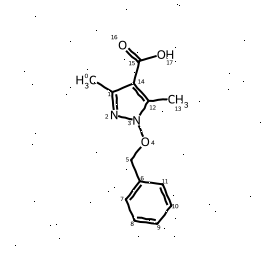 Cc1nn(OCc2ccccc2)c(C)c1C(=O)O